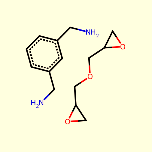 C(OCC1CO1)C1CO1.NCc1cccc(CN)c1